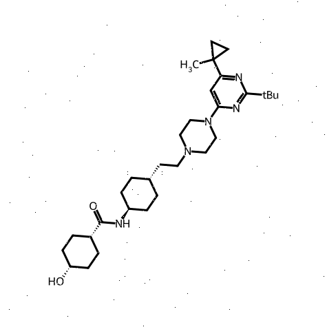 CC(C)(C)c1nc(N2CCN(CC[C@H]3CC[C@H](NC(=O)[C@H]4CC[C@@H](O)CC4)CC3)CC2)cc(C2(C)CC2)n1